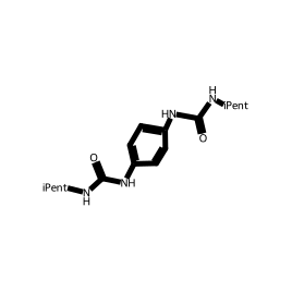 CCCC(C)NC(=O)Nc1ccc(NC(=O)NC(C)CCC)cc1